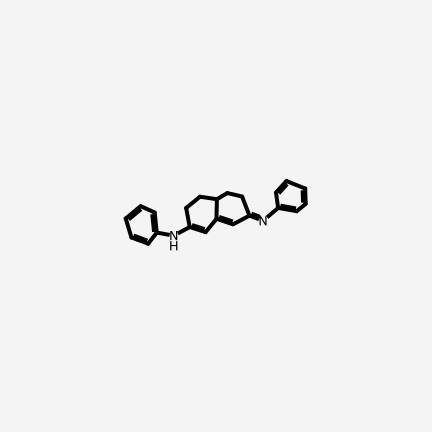 C1=C(Nc2ccccc2)CCC2CC/C(=N\c3ccccc3)C=C12